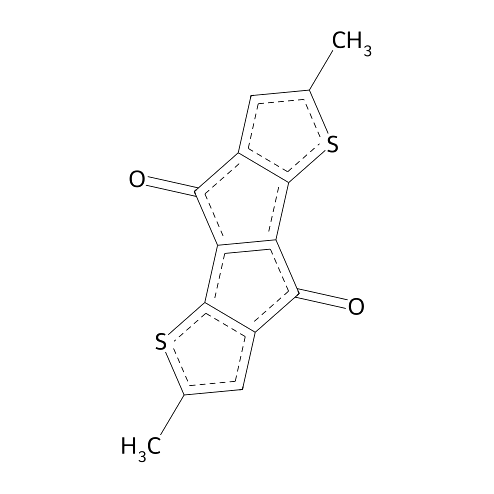 Cc1cc2c(=O)c3c4sc(C)cc4c(=O)c=3c2s1